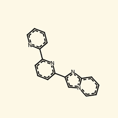 c1ccc(-c2cccc(-c3cn4ccccc4n3)n2)nc1